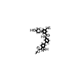 CCOC(=O)c1n[nH]c2cc(-c3cccc(NC(=O)c4cc(CF)cc(N5CCC(O)CC5)c4)c3)ccc12